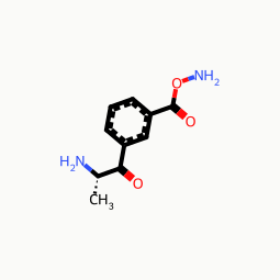 C[C@H](N)C(=O)c1cccc(C(=O)ON)c1